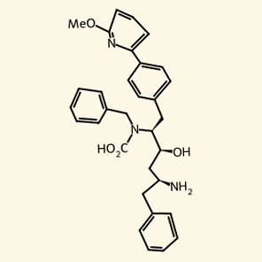 COc1cccc(-c2ccc(C[C@@H]([C@@H](O)C[C@@H](N)Cc3ccccc3)N(Cc3ccccc3)C(=O)O)cc2)n1